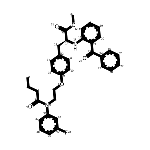 CCCC(=O)N(CCOc1ccc(C[C@H](Nc2ccccc2C(=O)c2ccccc2)C(=O)OC)cc1)c1cccc(F)c1